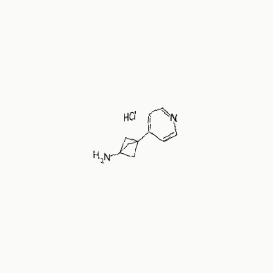 Cl.NC12CC(c3ccncc3)(C1)C2